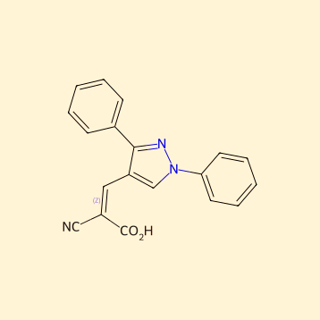 N#C/C(=C/c1cn(-c2ccccc2)nc1-c1ccccc1)C(=O)O